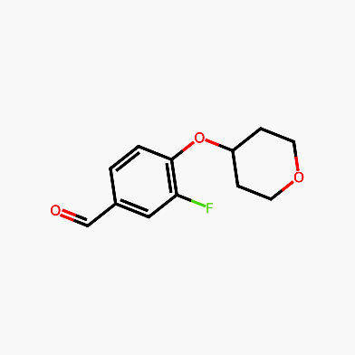 O=Cc1ccc(OC2CCOCC2)c(F)c1